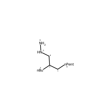 CCCCCCC(CCCC)CNN